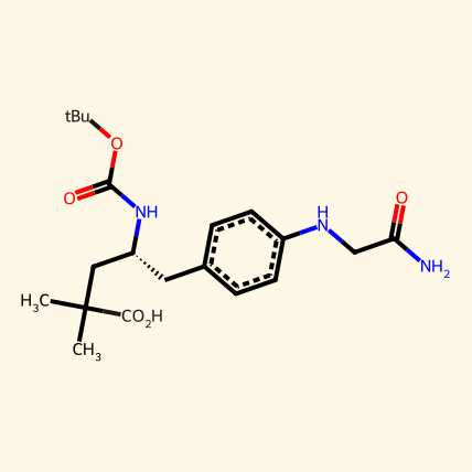 CC(C)(C)OC(=O)N[C@H](Cc1ccc(NCC(N)=O)cc1)CC(C)(C)C(=O)O